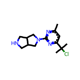 Cc1cc(C(C)(C)Cl)nc(N2CC3CNCC3C2)n1